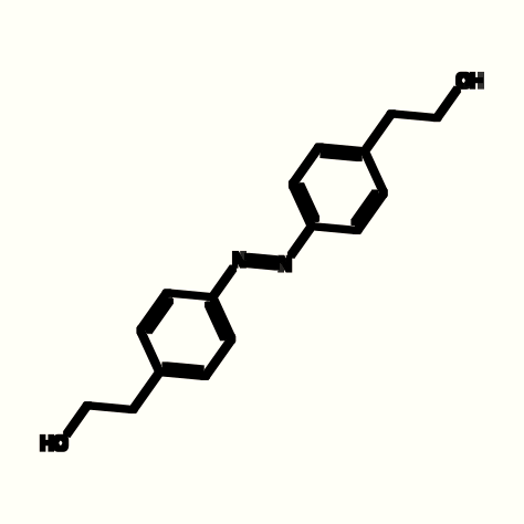 OCCc1ccc(N=Nc2ccc(CCO)cc2)cc1